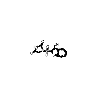 N#Cc1c(S(=O)(=O)N2CC(=O)NC2=O)sc2ccccc12